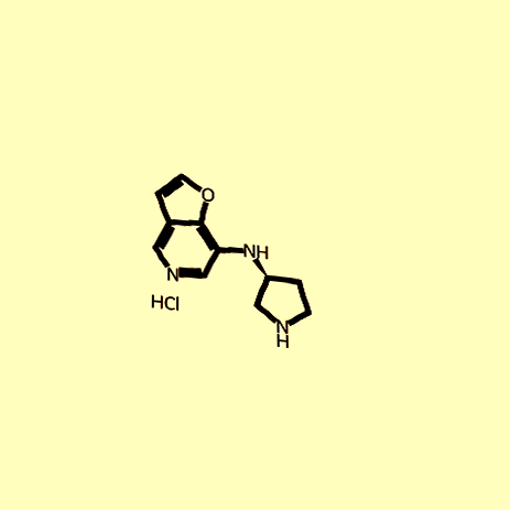 Cl.c1cc2cncc(N[C@H]3CCNC3)c2o1